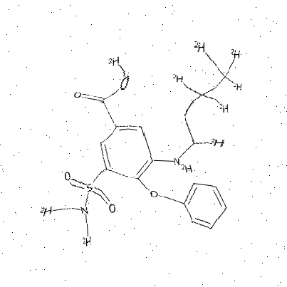 [2H]OC(=O)c1cc(N([2H])C([2H])CC([2H])([2H])C([2H])([2H])[2H])c(Oc2ccccc2)c(S(=O)(=O)N([2H])[2H])c1